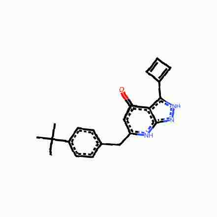 CC(C)(C)c1ccc(Cc2cc(=O)c3c(C4=CC=C4)[nH]nc3[nH]2)cc1